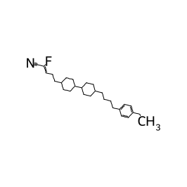 CCc1ccc(CCCCC2CCC(C3CCC(CCC=C(F)C#N)CC3)CC2)cc1